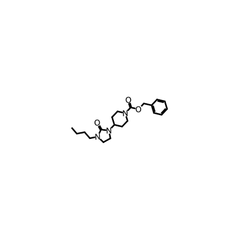 CCCCN1CCN(C2CCN(C(=O)OCc3ccccc3)CC2)C1=O